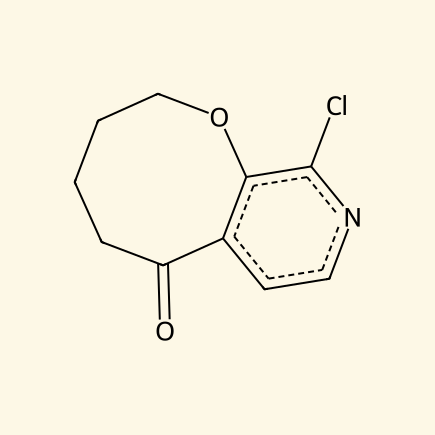 O=C1CCCCOc2c1ccnc2Cl